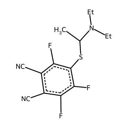 CCN(CC)C(C)Sc1c(F)c(F)c(C#N)c(C#N)c1F